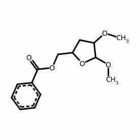 COC1CC(COC(=O)c2ccccc2)OC1OC